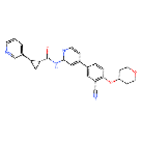 N#Cc1cc(-c2ccnc(NC(=O)[C@@H]3C[C@H]3c3cccnc3)c2)ccc1OC1CCOCC1